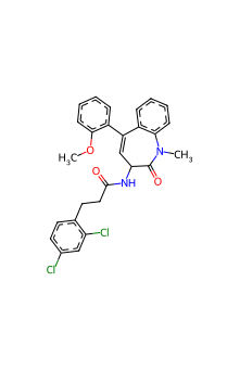 COc1ccccc1C1=CC(NC(=O)CCc2ccc(Cl)cc2Cl)C(=O)N(C)c2ccccc21